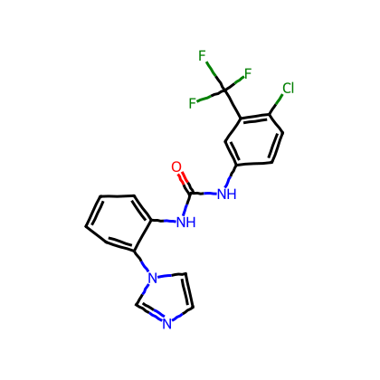 O=C(Nc1ccc(Cl)c(C(F)(F)F)c1)Nc1ccccc1-n1ccnc1